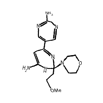 COCCC1(N2CCOCC2)N=C(c2cnc(N)nc2)C=C(N)N1